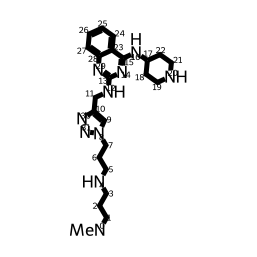 CNCCCNCCCn1cc(CNc2nc(NC3CCNCC3)c3ccccc3n2)nn1